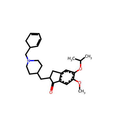 COc1cc2c(cc1OC(C)C)CC(CC1CCN(CC3C=CC=CC3)CC1)C2=O